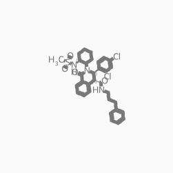 CS(=O)(=O)N[C@H]1CCCCC1N1C(=O)c2ccccc2[C@@H](C(=O)NCCCc2ccccc2)[C@@H]1c1ccc(Cl)cc1Cl